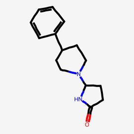 O=C1CCC(N2CCC(c3ccccc3)CC2)N1